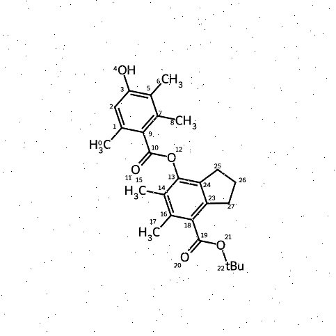 Cc1cc(O)c(C)c(C)c1C(=O)Oc1c(C)c(C)c(C(=O)OC(C)(C)C)c2c1CCC2